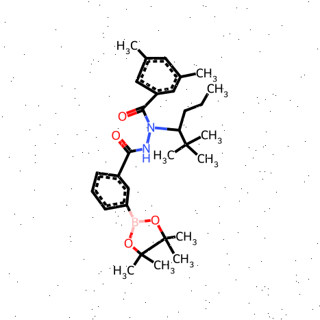 CCCC(N(NC(=O)c1cccc(B2OC(C)(C)C(C)(C)O2)c1)C(=O)c1cc(C)cc(C)c1)C(C)(C)C